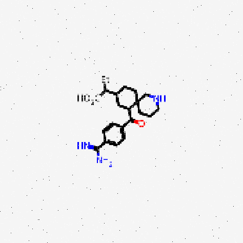 CCC(C(=O)O)C1CCC2(CCCNC2)C(C(=O)c2ccc(C(=N)N)cc2)C1